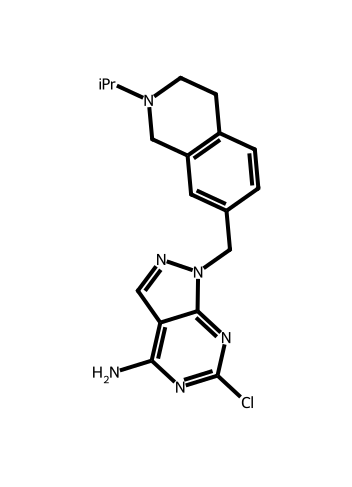 CC(C)N1CCc2ccc(Cn3ncc4c(N)nc(Cl)nc43)cc2C1